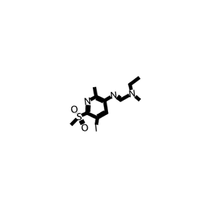 CCN(C)/C=N/c1cc(I)c(S(C)(=O)=O)nc1C